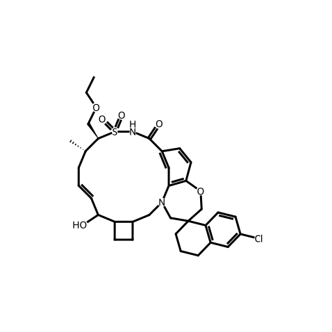 CCOC[C@@H]1[C@@H](C)C/C=C/C(O)C2CCC2CN2CC3(CCCc4cc(Cl)ccc43)COc3ccc(cc32)C(=O)NS1(=O)=O